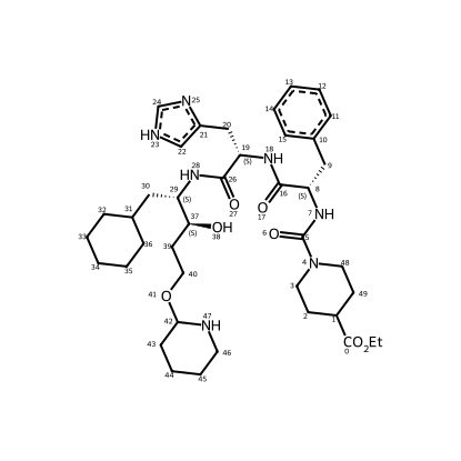 CCOC(=O)C1CCN(C(=O)N[C@@H](Cc2ccccc2)C(=O)N[C@@H](Cc2c[nH]cn2)C(=O)N[C@@H](CC2CCCCC2)[C@@H](O)CCOC2CCCCN2)CC1